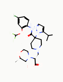 CC(C)c1ccnn1C1(C(=O)Nc2ccc(Cl)cc2OC(F)F)CCN(C[C@@H](C(=O)O)N2C[C@@H](C)O[C@H](C)C2)CC1